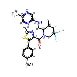 COc1ccc(-c2sc(C)nc2C(=O)N2CC(F)(F)CC(C)C2CNc2cnc(C(F)(F)F)cn2)cc1